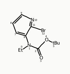 CCN(C(=O)OC(C)(C)C)c1cccnc1Br